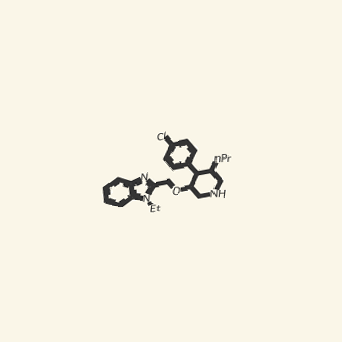 CCCC1CNCC(OCc2nc3ccccc3n2CC)C1c1ccc(Cl)cc1